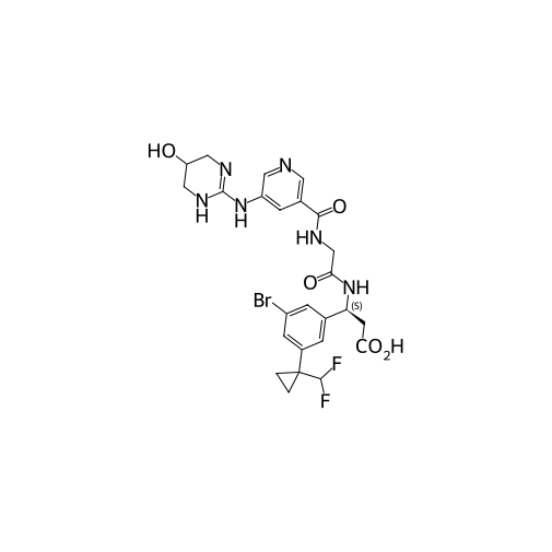 O=C(O)C[C@H](NC(=O)CNC(=O)c1cncc(NC2=NCC(O)CN2)c1)c1cc(Br)cc(C2(C(F)F)CC2)c1